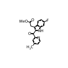 COC(=O)Cc1c(C(=O)c2cc(C)ccn2)[nH]c2cc(F)ccc12